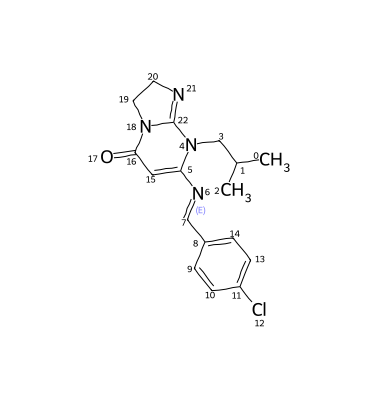 CC(C)CN1C(/N=C/c2ccc(Cl)cc2)=CC(=O)N2CCN=C21